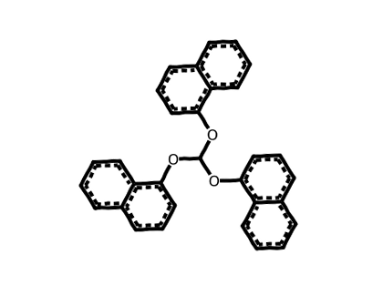 c1ccc2c(OC(Oc3cccc4ccccc34)Oc3cccc4ccccc34)cccc2c1